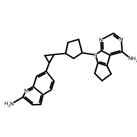 Nc1ccc2ccc(C3CC3C3CCC(n4c5c(c6c(N)ncnc64)CCC5)C3)cc2n1